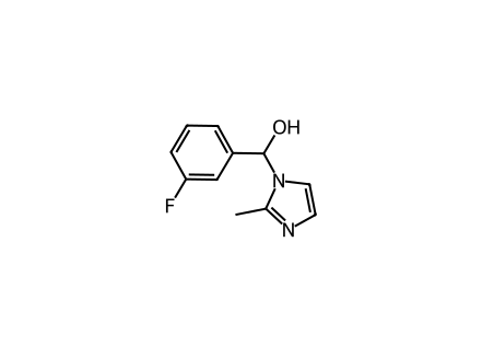 Cc1nccn1C(O)c1cccc(F)c1